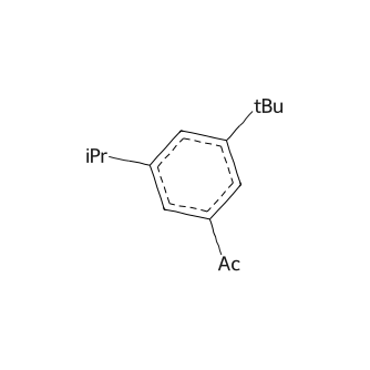 CC(=O)c1cc(C(C)C)cc(C(C)(C)C)c1